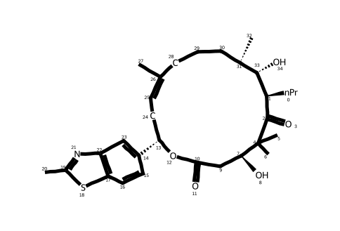 CCC[C@H]1C(=O)C(C)(C)[C@@H](O)CC(=O)O[C@H](c2ccc3sc(C)nc3c2)CC=C(C)CCC[C@H](C)[C@@H]1O